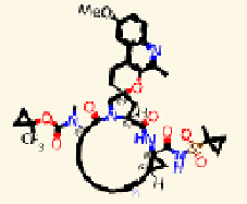 COc1ccc2nc(C)c3c(c2c1)CC[C@]1(C[C@H]2C(=O)N[C@]4(C(=O)NS(=O)(=O)C5(C)CC5)C[C@H]4/C=C\CCCCC[C@H](N(C)C(=O)OC4(C(F)(F)F)CC4)C(=O)N2C1)O3